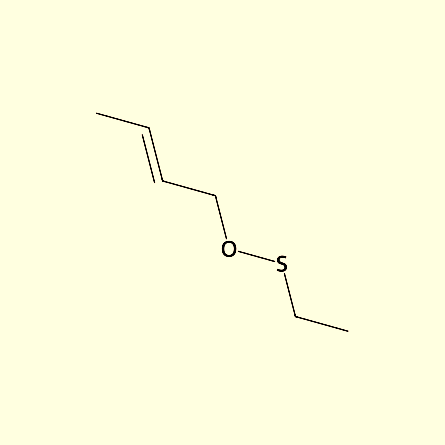 CC=CCOSCC